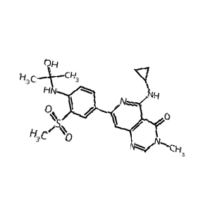 Cn1cnc2cc(-c3ccc(NC(C)(C)O)c(S(C)(=O)=O)c3)nc(NC3CC3)c2c1=O